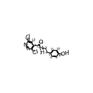 O=C(NCCc1ccc(O)cc1)c1cc(Cl)nnc1Cl